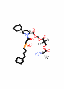 CCC(CC)(COC(=O)[C@@H](N)C(C)C)C(=O)OCOC(=O)[C@@H]1C[C@@H](C2CCCCC2)CN1C(=O)C[PH](=O)CCCCc1ccccc1